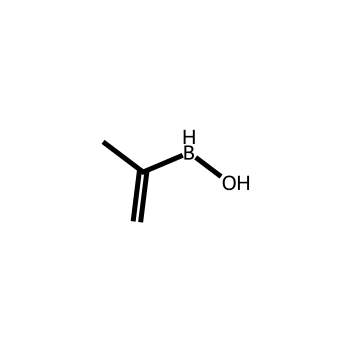 C=C(C)BO